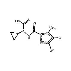 Cc1c(C(=O)NC(C(=O)O)C2CC2)sc(Br)c1Br